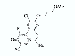 COCCCOc1cc2c(cc1Cl)-c1c(F)c(=O)c(C(C)=O)cn1C(C(C)(C)C)C2